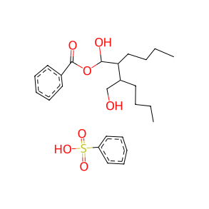 CCCCC(CO)C(CCCC)C(O)OC(=O)c1ccccc1.O=S(=O)(O)c1ccccc1